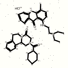 CCN(CC)CCNc1ccc(C)c2sc3ccccc3c(=O)c12.Cl.O=C(C1CCCCC1)N1CC(=O)N2CCc3ccccc3C2C1